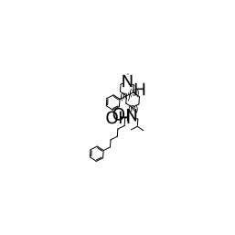 CC(C)CN(C(=O)CCCCCc1ccccc1)[C@@H]1CC[C@@H]2CN(C)CC[C@@]2(c2cccc(O)c2)C1